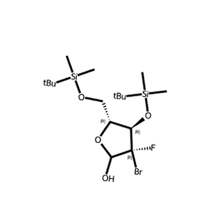 CC(C)(C)[Si](C)(C)OC[C@H]1OC(O)[C@](F)(Br)[C@@H]1O[Si](C)(C)C(C)(C)C